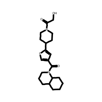 O=C(CO)N1CCC(c2cc(C(=O)N3CCCC4CCCCC43)cs2)CC1